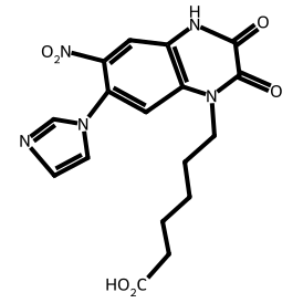 O=C(O)CCCCCn1c(=O)c(=O)[nH]c2cc([N+](=O)[O-])c(-n3ccnc3)cc21